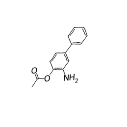 CC(=O)Oc1ccc(-c2ccccc2)cc1N